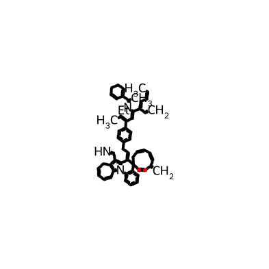 C=CC(=C\C=C/C)/C(=C/C(=C(/C)CC)c1ccc(C/C=C2\c3c(C=N)c4c(n3-c3ccccc3C23C/C=C\C=C/C(=C)c2ccccc23)C=CC=CC4)cc1)/N=C(\C)C1=CCCC=C1